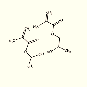 C=C(C)C(=O)OC(C)O.C=C(C)C(=O)OCC(C)O